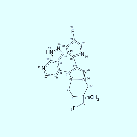 CC1(CF)CCc2c(-c3ccnc4[nH]ncc34)c(-c3ccc(F)cn3)nn2C1